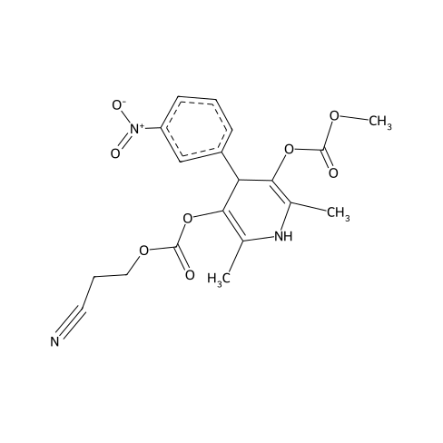 COC(=O)OC1=C(C)NC(C)=C(OC(=O)OCCC#N)C1c1cccc([N+](=O)[O-])c1